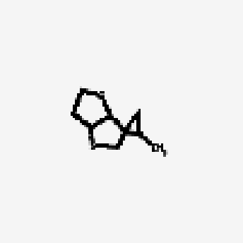 CC1CC12CSC1CCSC12